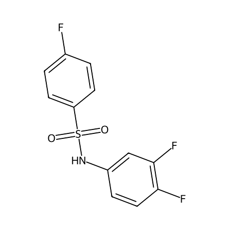 O=S(=O)(Nc1ccc(F)c(F)c1)c1ccc(F)cc1